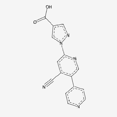 N#Cc1cc(-n2cc(C(=O)O)cn2)ncc1-c1ccncc1